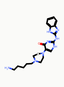 NCCCCCN1CCN(c2c[nH]c(Nc3nc4ccccc4[nH]3)nc2=O)CC1